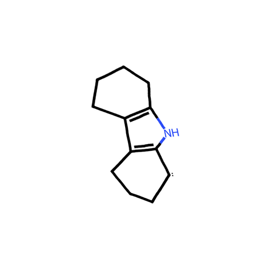 [C]1CCCc2c1[nH]c1c2CCCC1